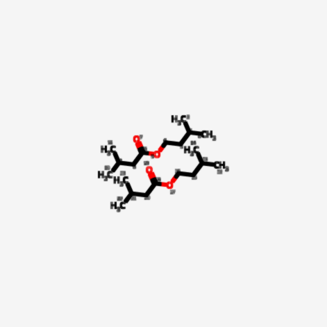 CC(C)CCOC(=O)CC(C)C.CC(C)CCOC(=O)CC(C)C